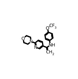 C=C(Nc1ccc(OC(F)(F)F)cc1)c1ccc(N2CCOCC2)nc1